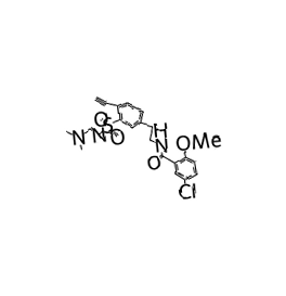 C#Cc1ccc(CCNC(=O)c2cc(Cl)ccc2OC)cc1S(=O)(=O)N=CN(C)C